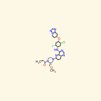 C=CC(=O)N1CCN(c2ccc3ncnc(Nc4cc(Cl)c(Oc5ccn6ncnc6c5)cc4F)c3n2)C[C@H]1COC